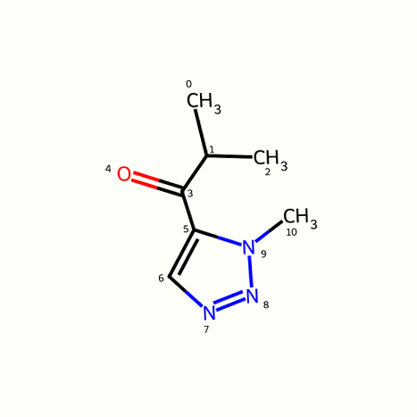 CC(C)C(=O)c1cnnn1C